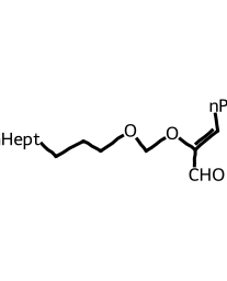 CCCC=C(C=O)OCOCCCCCCCCCC